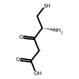 N[C@@H](CS)C(=O)[CH]C(=O)O